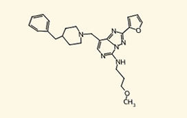 COCCCNc1ncc(CN2CCC(Cc3ccccc3)CC2)c2nc(-c3ccco3)nn12